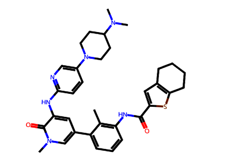 Cc1c(NC(=O)c2cc3c(s2)CCCC3)cccc1-c1cc(Nc2ccc(N3CCC(N(C)C)CC3)cn2)c(=O)n(C)c1